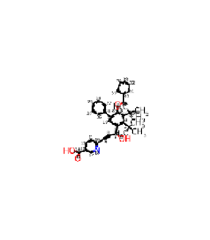 CC(C)(C)c1c(C(O)C#Cc2ccc(C(=O)O)cn2)cc(-c2ccccc2)c(OCc2ccccc2)c1C(C)(C)C